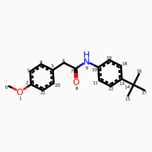 COc1ccc(CC(=O)Nc2ccc(C(C)(C)C)cc2)cc1